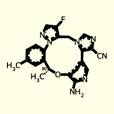 Cc1ccc2c(c1)[C@@H](C)Oc1cc(cnc1N)-c1c(C#N)ncn1Cc1c(F)cnn1-2